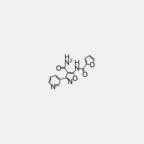 NC(=O)c1c(-c2cccnc2)noc1NC(=O)c1ccco1